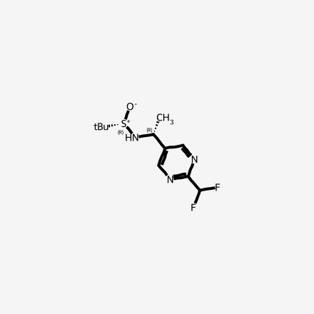 C[C@@H](N[S@@+]([O-])C(C)(C)C)c1cnc(C(F)F)nc1